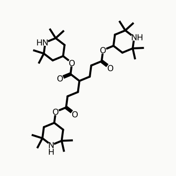 CC1(C)CC(OC(=O)CCC(CCC(=O)OC2CC(C)(C)NC(C)(C)C2)C(=O)OC2CC(C)(C)NC(C)(C)C2)CC(C)(C)N1